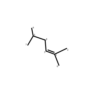 CC(C)=C[CH]C(C)C